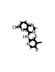 Cc1c(F)cnc(Nc2ncnc3ccc(Cl)nc23)c1F